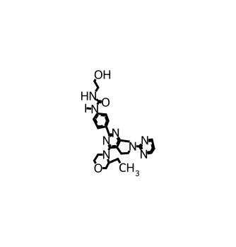 CCC1COCCN1c1nc(-c2ccc(N(I)C(=O)NCCO)cc2)nc2c1CCN(c1ncccn1)C2